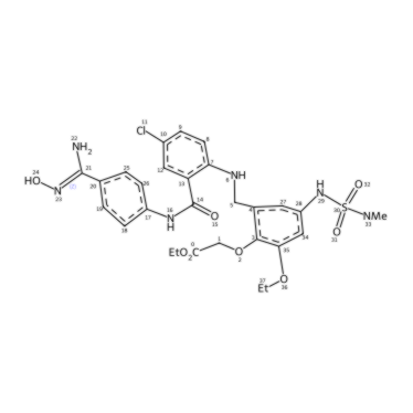 CCOC(=O)COc1c(CNc2ccc(Cl)cc2C(=O)Nc2ccc(/C(N)=N/O)cc2)cc(NS(=O)(=O)NC)cc1OCC